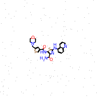 NC(=O)c1nc(Nc2cccc3ncccc23)sc1NC(=O)c1csc(CN2CCOCC2)c1